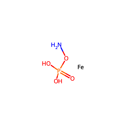 NOP(=O)(O)O.[Fe]